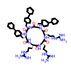 N=C(N)NCCC[C@@H]1NC(=O)[C@H](CCCNC(=N)N)NC(=O)[C@H](Cc2ccc(-c3ccccc3)cc2)NC(=O)[C@H](Cc2ccc(-c3ccccc3)cc2)NC(=O)[C@H](Cc2ccc(-c3ccccc3)cc2)NC(=O)[C@H](CCCNC(=N)N)NC1=O